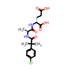 C[C@H](NC(=O)C(C)(C)c1ccc(Cl)cc1)C(=O)N[C@H](CCC(=O)O)C(=O)O